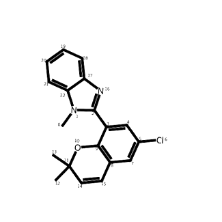 Cn1c(-c2cc(Cl)cc3c2OC(C)(C)C=C3)nc2ccccc21